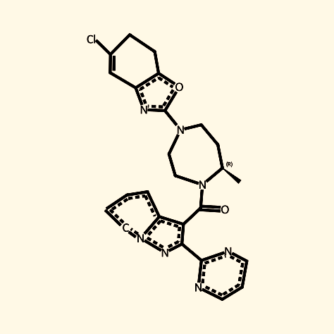 C[C@@H]1CCN(c2nc3c(o2)CCC(Cl)=C3)CCN1C(=O)c1c(-c2ncccn2)nn2ccccc12